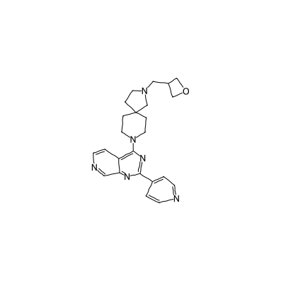 c1cc(-c2nc(N3CCC4(CCN(CC5COC5)C4)CC3)c3ccncc3n2)ccn1